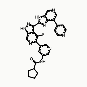 O=C(Nc1cncc(-c2ncc3[nH]nc(-c4nc5c(-c6ccncc6)cncc5[nH]4)c3c2F)c1)C1CCCC1